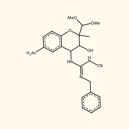 COC(OC)C1(C)Oc2ccc([AsH2])cc2C(NC(=NCc2ccccc2)NC#N)C1O